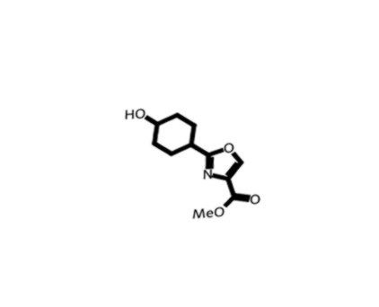 COC(=O)c1coc(C2CCC(O)CC2)n1